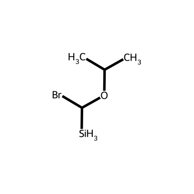 CC(C)OC([SiH3])Br